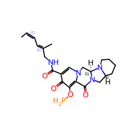 C/C=C\C=C(/C)CNC(=O)c1cn2c(c(OP)c1=O)C(=O)N1C[C@@H]3CCCCN3[C@@H]1C2